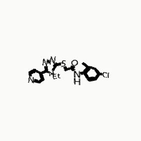 CCn1c(SCC(=O)Nc2ccc(Cl)cc2C)nnc1-c1ccncc1